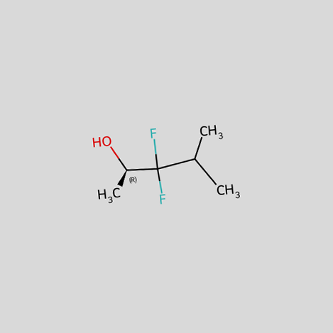 CC(C)C(F)(F)[C@@H](C)O